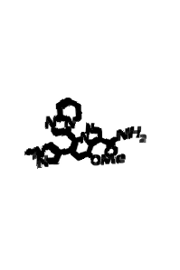 COc1cc(-c2cnn(C)c2)c(-c2cnc3ccccn23)n2ncc(C(N)=O)c12